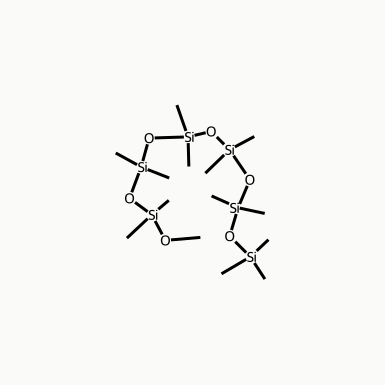 CO[Si](C)(C)O[Si](C)(C)O[Si](C)(C)O[Si](C)(C)O[Si](C)(C)O[Si](C)(C)C